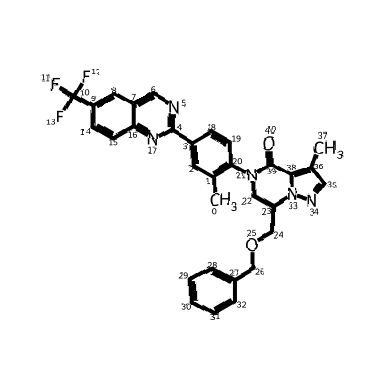 Cc1cc(-c2ncc3cc(C(F)(F)F)ccc3n2)ccc1N1CC(COCc2ccccc2)n2ncc(C)c2C1=O